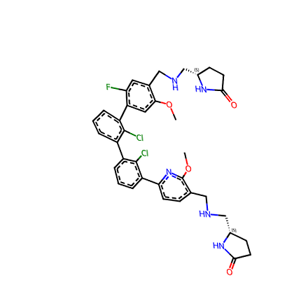 COc1cc(-c2cccc(-c3cccc(-c4ccc(CNC[C@@H]5CCC(=O)N5)c(OC)n4)c3Cl)c2Cl)c(F)cc1CNC[C@@H]1CCC(=O)N1